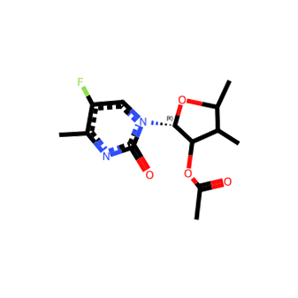 CC(=O)OC1C(C)C(C)O[C@H]1n1cc(F)c(C)nc1=O